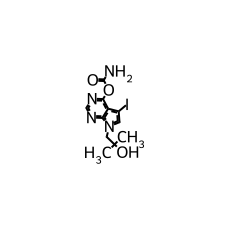 CC(C)(O)Cn1cc(I)c2c(OC(N)=O)ncnc21